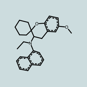 CCN(c1cccc2ccccc12)C1Cc2cc(OC)ccc2OC12CCCCC2